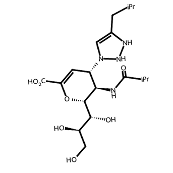 CC(C)CC1=CN([C@H]2C=C(C(=O)O)O[C@@H]([C@H](O)[C@H](O)CO)[C@@H]2NC(=O)C(C)C)NN1